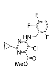 COC(=O)c1nc(C2CC2)nc(NCc2c(F)ccc(F)c2F)c1Cl